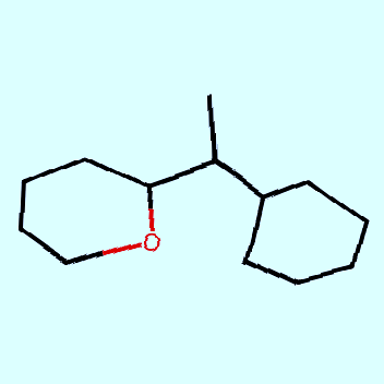 CC(C1CCCCC1)C1CCCCO1